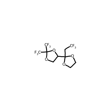 FC(F)(F)CC1(C2COC(C(F)(F)F)(C(F)(F)F)O2)OCCO1